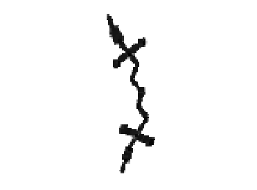 CC#CS(=O)(=O)CCOCCS(=O)(=O)C#CC